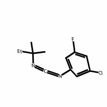 CCC(C)(C)N=C=Nc1cc(F)cc(Cl)c1